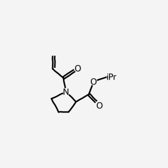 C=CC(=O)N1CCCC1C(=O)OC(C)C